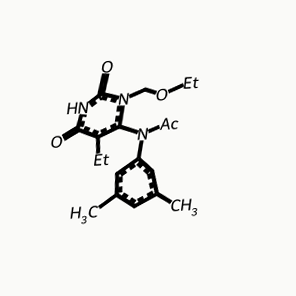 CCOCn1c(N(C(C)=O)c2cc(C)cc(C)c2)c(CC)c(=O)[nH]c1=O